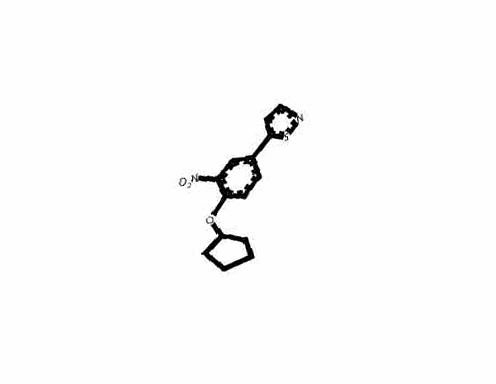 O=[N+]([O-])c1cc(-c2ccns2)ccc1OC1CCCC1